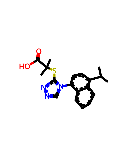 CC(C)c1ccc(-n2cnnc2SC(C)(C)C(=O)O)c2ccccc12